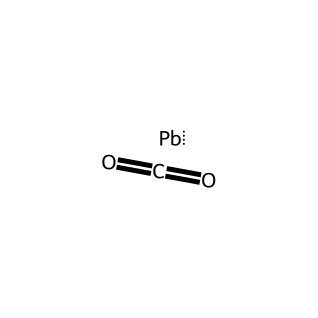 O=C=O.[Pb]